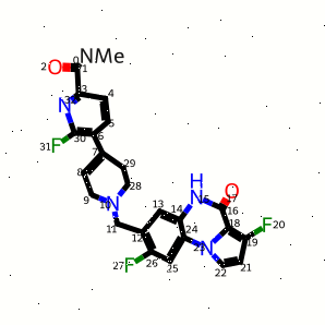 CNC(=O)c1ccc(C2=CCN(Cc3cc4[nH]c(=O)c5c(F)ccn5c4cc3F)CC2)c(F)n1